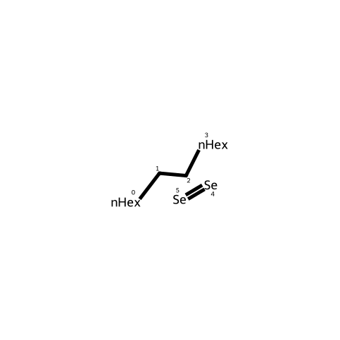 CCCCCCCCCCCCCC.[Se]=[Se]